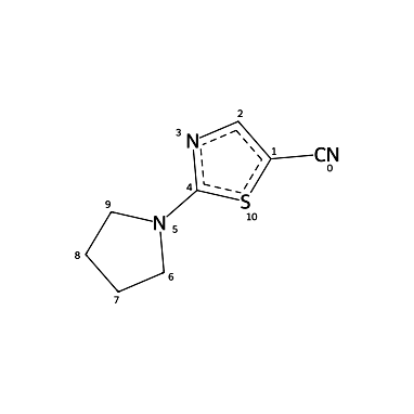 N#Cc1cnc(N2CCCC2)s1